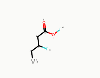 CCC(F)CC(=O)OF